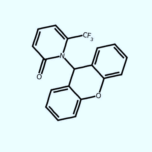 O=c1cccc(C(F)(F)F)n1C1c2ccccc2Oc2ccccc21